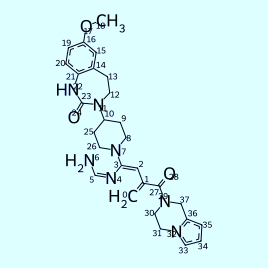 C=C(/C=C(\N=C/N)N1CCC(N2CCc3cc(OC)ccc3NC2=O)CC1)C(=O)N1CCn2cccc2C1